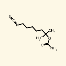 CC(C)(CCCCCN=C=S)OC(N)=O